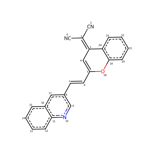 N#CC(C#N)=C1C=C(C=Cc2cnc3ccccc3c2)Oc2ccccc21